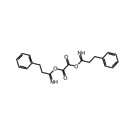 N=C(CCc1ccccc1)OC(=O)C(=O)OC(=N)CCc1ccccc1